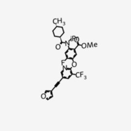 COC(=O)c1cc(Oc2ncc(C#Cc3ccoc3)cc2C(F)(F)F)c(F)cc1N(C(=O)[C@H]1CC[C@H](C)CC1)C(C)C